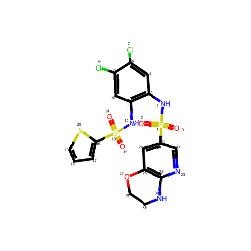 O=S(=O)(Nc1cc(Cl)c(Cl)cc1NS(=O)(=O)c1cccs1)c1cnc2c(c1)OCCN2